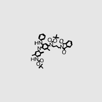 C=C1C=C(NC(=O)OC(C)(C)C)C(C)=C/C1=N/c1cc(C)c(N(CCCN2C(=O)c3ccccc3C2=O)C(=O)OC(C)(C)C)cc1Nc1ccccc1